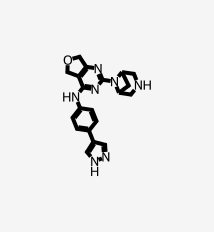 c1cc(-c2cn[nH]c2)ccc1Nc1nc(N2C3CNCC2C3)nc2c1COC2